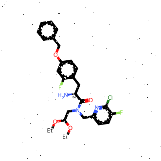 CCOC(CN(Cc1ccc(F)c(Cl)n1)C(=O)[C@@H](N)Cc1ccc(OCc2ccccc2)cc1F)OCC